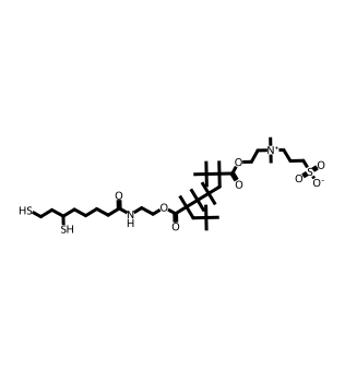 CC(C)(C)CC(C)(C(=O)OCCNC(=O)CCCCC(S)CCS)C(C)(C)C(C)(C)CC(C)(C(=O)OCC[N+](C)(C)CCCS(=O)(=O)[O-])C(C)(C)C